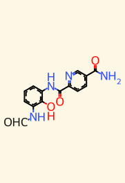 NC(=O)c1ccc(C(=O)Nc2cccc(NC=O)c2O)nc1